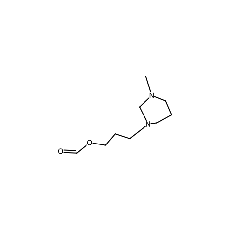 CN1CCCN(CCCOC=O)C1